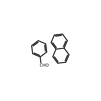 O=[C]c1ccccc1.c1ccc2ccccc2c1